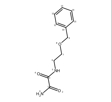 NC(=O)C(=O)NCCOCc1ccccc1